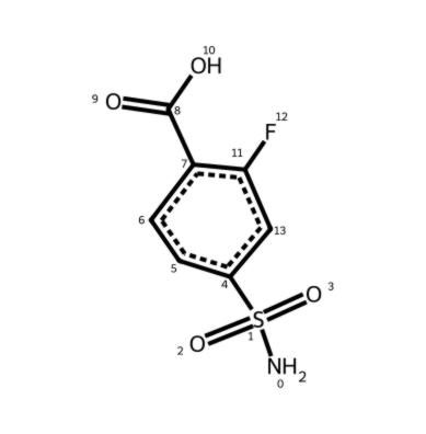 NS(=O)(=O)c1ccc(C(=O)O)c(F)c1